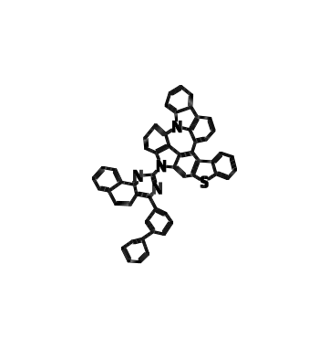 c1ccc(-c2cccc(-c3nc(-n4c5cc6sc7ccccc7c6c6c7cccc8c9ccccc9n(c9cccc4c9c65)c87)nc4c3ccc3ccccc34)c2)cc1